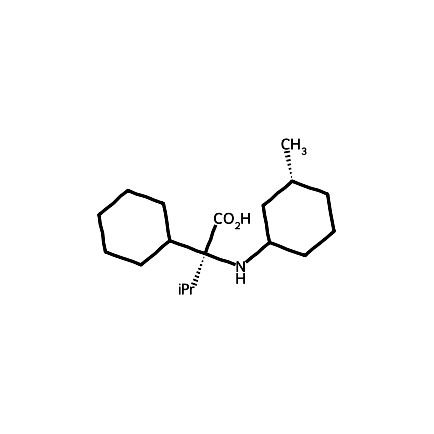 CC(C)[C@@](NC1CCC[C@@H](C)C1)(C(=O)O)C1CCCCC1